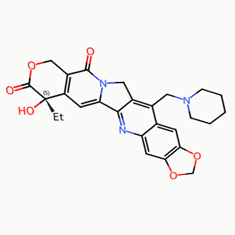 CC[C@@]1(O)C(=O)OCc2c1cc1n(c2=O)Cc2c-1nc1cc3c(cc1c2CN1CCCCC1)OCO3